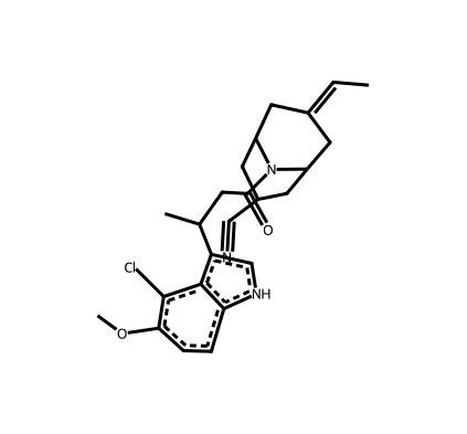 CC=C1CC2CC(C#N)CC(C1)N2C(=O)CC(C)c1c[nH]c2ccc(OC)c(Cl)c12